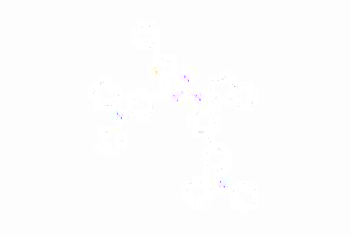 C1=CC(n2c3ccccc3c3cc(-c4ccc5c(c4)c4c6ccccc6ccc4n5-c4nc(-c5ccc6c(c5)c5ccccc5n6-c5ccccc5)c5sc(-c6ccccc6)cc5n4)ccc32)=CCC1